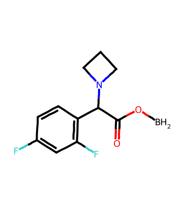 BOC(=O)C(c1ccc(F)cc1F)N1CCC1